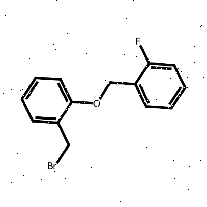 Fc1ccccc1COc1ccccc1CBr